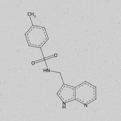 Cc1ccc(S(=O)(=O)NCc2c[nH]c3ncccc23)cc1